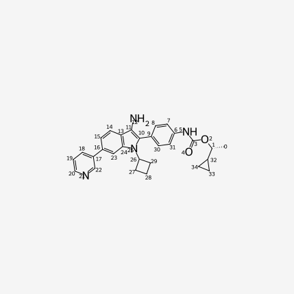 C[C@@H](OC(=O)Nc1ccc(-c2c(N)c3ccc(-c4cccnc4)cc3n2C2CCC2)cc1)C1CC1